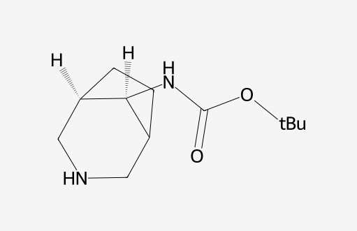 CC(C)(C)OC(=O)N[C@H]1C2CC[C@@H]1CNC2